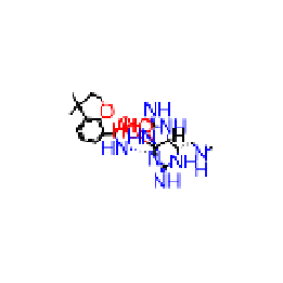 CNC[C@@H]1NC(=N)N2C[C@H](NC(=O)c3cccc4c3OCCC4(C)C)C(O)(O)[C@@]23NC(=N)N[C@@H]13